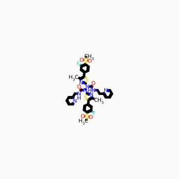 Cc1nc(N(C(=O)NCCc2ccccn2)N(C(=O)NCc2ccccn2)c2nc(C)c(-c3ccc(S(C)(=O)=O)c(F)c3)s2)sc1-c1ccc(S(C)(=O)=O)c(F)c1